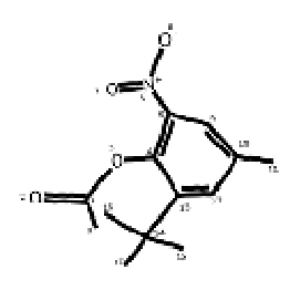 CC(=O)Oc1c([N+](=O)[O-])cc(C)cc1C(C)(C)C